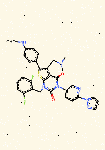 CN(C)Cc1c(-c2ccc(NC=O)cc2)sc2c1c(=O)n(-c1ccc(-n3cccn3)nc1)c(=O)n2Cc1c(F)cccc1F